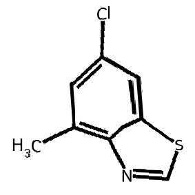 Cc1cc(Cl)cc2scnc12